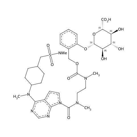 CNS(=O)(=O)CC1CCC(N(C)c2ncnc3c2ccn3C(=O)N(C)CCN(C)C(=O)OCc2ccccc2O[C@@H]2O[C@H](C(=O)O)[C@@H](O)[C@H](O)[C@H]2O)CC1